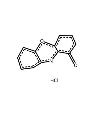 Cl.O=c1cccc2oc3ccccc3nc1-2